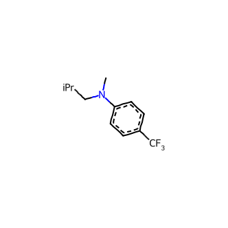 CC(C)CN(C)c1ccc(C(F)(F)F)cc1